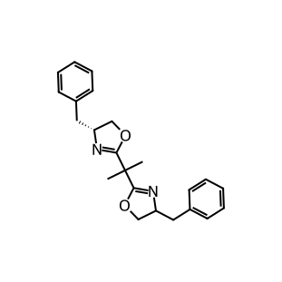 CC(C)(C1=NC(Cc2ccccc2)CO1)C1=N[C@H](Cc2ccccc2)CO1